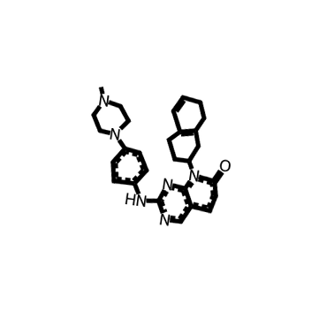 CN1CCN(c2ccc(Nc3ncc4ccc(=O)n(C5CCC6=C(CCC=C6)C5)c4n3)cc2)CC1